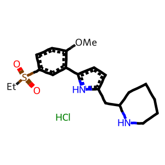 CCS(=O)(=O)c1ccc(OC)c(-c2ccc(CC3CCCCCN3)[nH]2)c1.Cl